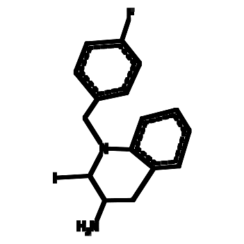 NC1Cc2ccccc2N(Cc2ccc(F)cc2)C1I